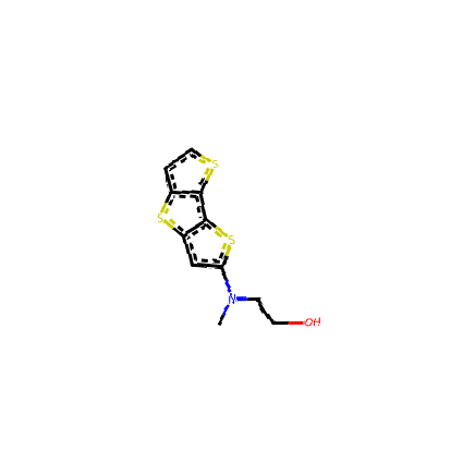 CN(CCO)c1cc2sc3ccsc3c2s1